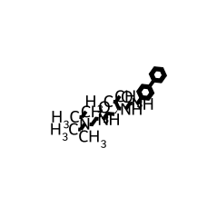 CC(C)[C@@H](CC(=O)NCCN(C(C)C)C(C)C)NC(=O)Nc1ccc(-c2ccccc2)cc1